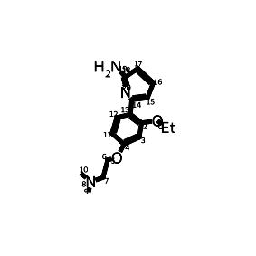 CCOc1cc(OCCN(C)C)ccc1-c1cccc(N)n1